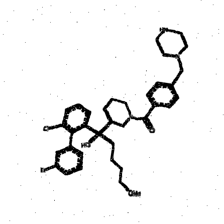 CCc1cccc(-c2c(Cl)cccc2C(O)(CCCCOC)C2CCCN(C(=O)c3ccc(CN4CCNCC4)cc3)C2)c1